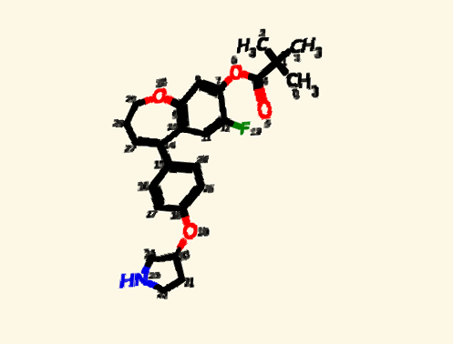 CC(C)(C)C(=O)Oc1cc2c(cc1F)C(c1ccc(O[C@H]3CCNC3)cc1)=CCCO2